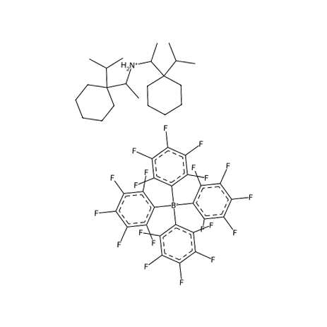 CC(C)C1(C(C)[NH2+]C(C)C2(C(C)C)CCCCC2)CCCCC1.Fc1c(F)c(F)c([B-](c2c(F)c(F)c(F)c(F)c2F)(c2c(F)c(F)c(F)c(F)c2F)c2c(F)c(F)c(F)c(F)c2F)c(F)c1F